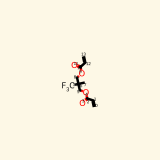 C=CC(=O)OCC(C)(COC(=O)C=C)C(F)(F)F